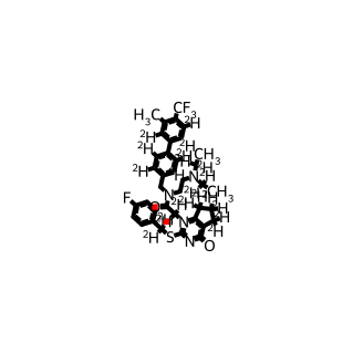 [2H]c1c([2H])c(-c2c([2H])c([2H])c(C(F)(F)F)c(C)c2[2H])c([2H])c([2H])c1CN(CCN(C([2H])([2H])C)C([2H])([2H])C)C(=O)C([2H])([2H])n1c(SC([2H])([2H])c2ccc(F)cc2)nc(=O)c2c1C([2H])([2H])C([2H])([2H])C2([2H])[2H]